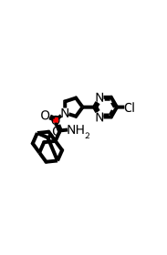 NC(=O)C12CC3CC(C1)C(OC(=O)N1CCC(c4ncc(Cl)cn4)C1)C(C3)C2